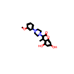 COc1cccc(N2CCN(c3c(C)c4c(O)cc(O)cc4oc3=O)CC2)c1